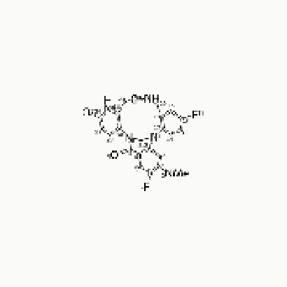 CNc1cc2c(cc1F)C(=O)N1CN2c2ccc(F)cc2CNCCc2[nH]c(=O)ccc21